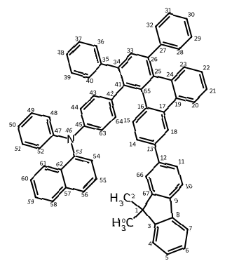 CC1(C)c2ccccc2-c2ccc(-c3ccc4c(c3)c3ccccc3c3c(-c5ccccc5)cc(-c5ccccc5)c(-c5ccc(N(c6ccccc6)c6cccc7ccccc67)cc5)c43)cc21